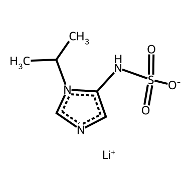 CC(C)n1cncc1NS(=O)(=O)[O-].[Li+]